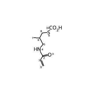 C=CC(=O)NCC(C)CSC(=O)O